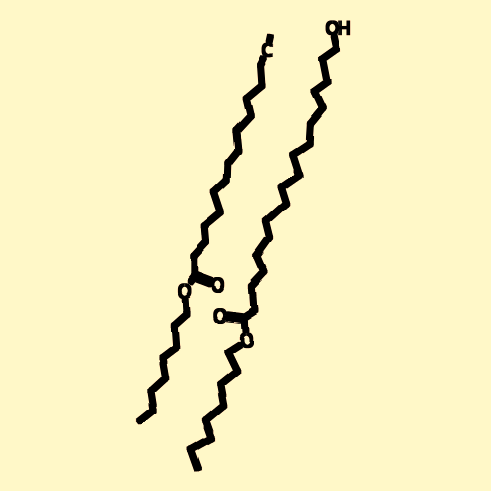 CCCCCCCCCCCCCCCC(=O)OCCCCCCCC.CCCCCCCCOC(=O)CCCCCCCCCCCCCCCCCO